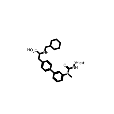 CCCCCCCNC(=O)N(C)c1cccc(-c2ccc(CC(NCC3CCCCC3)C(=O)O)cc2)c1